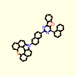 c1ccc2c(-c3nc(-c4ccc5cc(-n6c7ccc8cccc9sc%10cccc%11ccc6c(c%11%10)c7c89)ccc5c4)nc4c3oc3ccccc34)cccc2c1